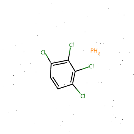 Clc1ccc(Cl)c(Cl)c1Cl.P